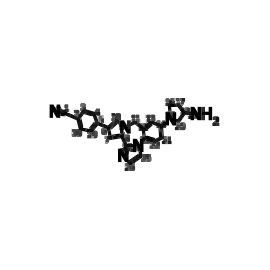 N#Cc1ccc(-c2cc3n(c2)Cc2cc(N4CCC(N)C4)ccc2-n2ccnc2-3)cc1